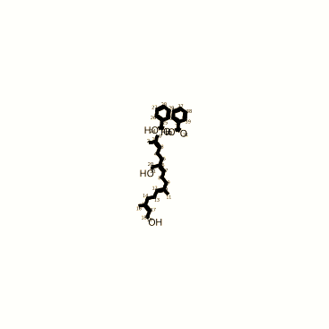 CC(C)=CCCC(=CCCC(C)=CCCC(C)=CCO)CO.O=C(O)c1ccccc1.O=C(O)c1ccccc1